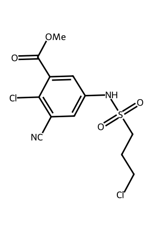 COC(=O)c1cc(NS(=O)(=O)CCCCl)cc(C#N)c1Cl